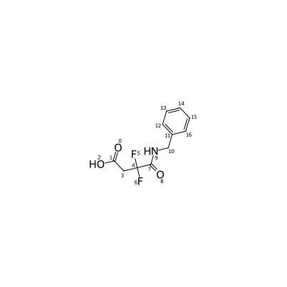 O=C(O)CC(F)(F)C(=O)NCc1ccccc1